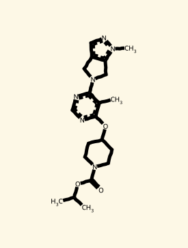 Cc1c(OC2CCN(C(=O)OC(C)C)CC2)ncnc1N1Cc2cnn(C)c2C1